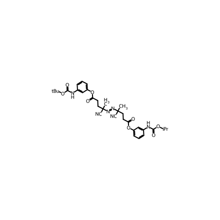 CC(C)OC(=O)Nc1cccc(OC(=O)CCC(C)(C#N)/N=N/C(C)(C#N)CCC(=O)Oc2cccc(NC(=O)OC(C)(C)C)c2)c1